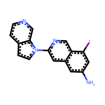 Nc1cc(I)c2cnc(-n3ccc4ccncc43)cc2c1